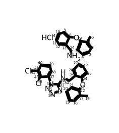 Cc1ccccc1Oc1ccccc1CN.Cc1ccccc1Oc1ccccc1CNc1nnnn1-c1cccc(Cl)c1Cl.Cl